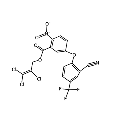 N#Cc1cc(C(F)(F)F)ccc1Oc1ccc([N+](=O)[O-])c(C(=O)OCC(Cl)=C(Cl)Cl)c1